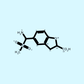 CS(=O)(=O)C(N)c1ccc2c(c1)CC(C(=O)O)O2